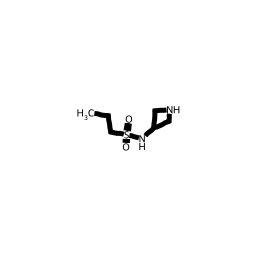 CCCS(=O)(=O)NC1CNC1